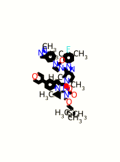 Cc1cc(-n2nc3c(c2-n2ccn(-c4ccc5c(cnn5C)c4)c2=O)[C@H](C)N(C(=O)c2cc4cc(C5CCOCC5)ccc4n2[C@@]2(c4noc(=O)n4COCC[Si](C)(C)C)C[C@@H]2C)[C@H](C)C3)cc(C)c1F